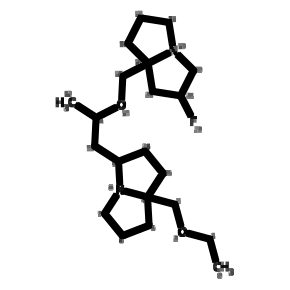 CCOCC12CCCN1C(CC(C)OCC13CCCN1CC(F)C3)CC2